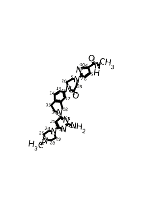 CNC(=O)c1ccc(N2CCN(c3ccc4c(c3)CN(c3cc(N5CCN(C)CC5)nc(N)n3)CC4)C(=O)C2)nc1